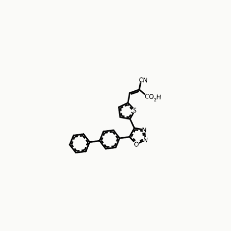 N#CC(=Cc1ccc(-c2nnoc2-c2ccc(-c3ccccc3)cc2)s1)C(=O)O